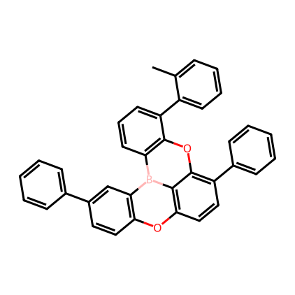 Cc1ccccc1-c1cccc2c1Oc1c(-c3ccccc3)ccc3c1B2c1cc(-c2ccccc2)ccc1O3